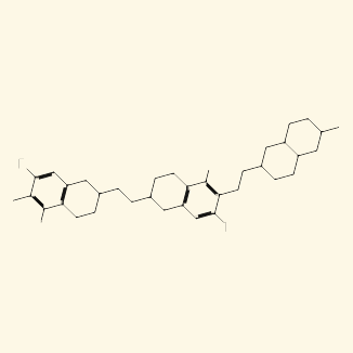 Cc1c(F)cc2c(c1F)CCC(CCC1CCc3c(cc(F)c(CCC4CCC5CC(C)CCC5C4)c3F)C1)C2